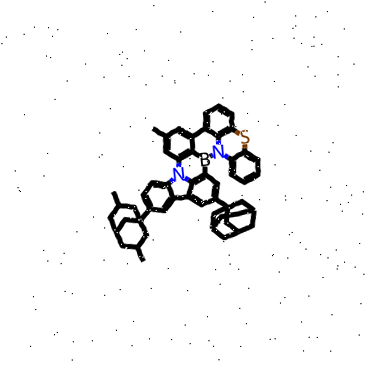 Cc1cc2c3c(c1)-n1c4ccc(C56CC(C)CC(CC(C)C5)C6)cc4c4cc(C56CC7CC(CC(C7)C5)C6)cc(c41)B3N1c3ccccc3Sc3cccc-2c31